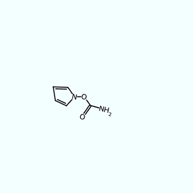 NC(=O)On1cccc1